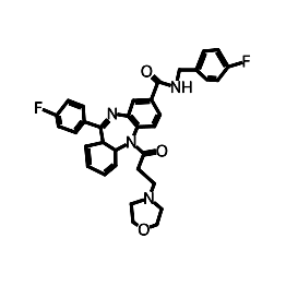 O=C(NCc1ccc(F)cc1)c1ccc2c(c1)N=C(c1ccc(F)cc1)C1C=CC=CC1N2C(=O)CCN1CCOCC1